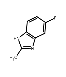 Cc1nc2cc(F)ccc2[nH]1